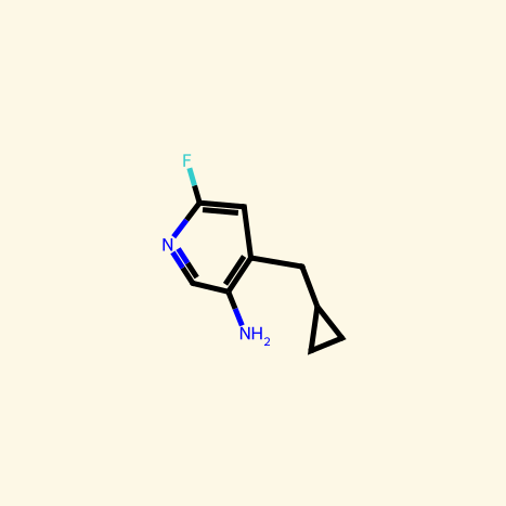 Nc1cnc(F)cc1CC1CC1